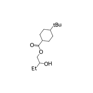 CCC(O)COC(=O)C1CCC(C(C)(C)C)CC1